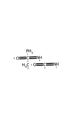 C.N=C=O.N=C=O.P